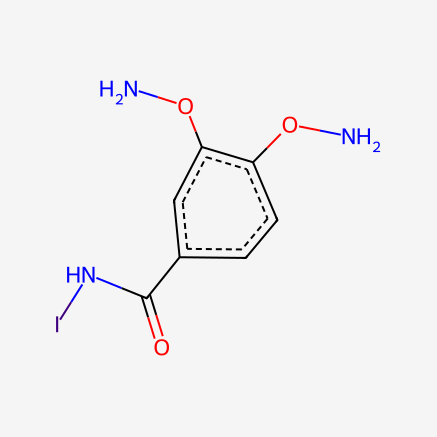 NOc1ccc(C(=O)NI)cc1ON